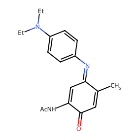 CCN(CC)c1ccc(N=C2C=C(NC(C)=O)C(=O)C=C2C)cc1